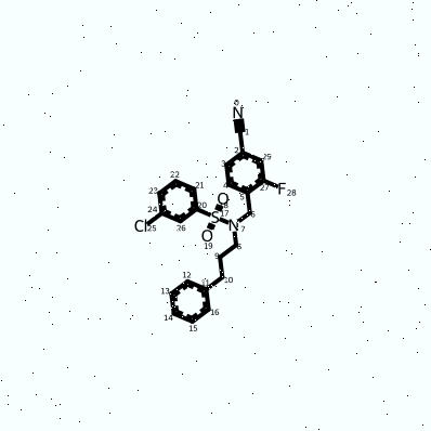 N#Cc1ccc(CN(CCCc2ccccc2)S(=O)(=O)c2cccc(Cl)c2)c(F)c1